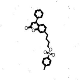 Cc1ccc(S(=O)(=O)OCCCCc2ccc3c(-c4ccccc4)cc(=O)oc3c2)cc1